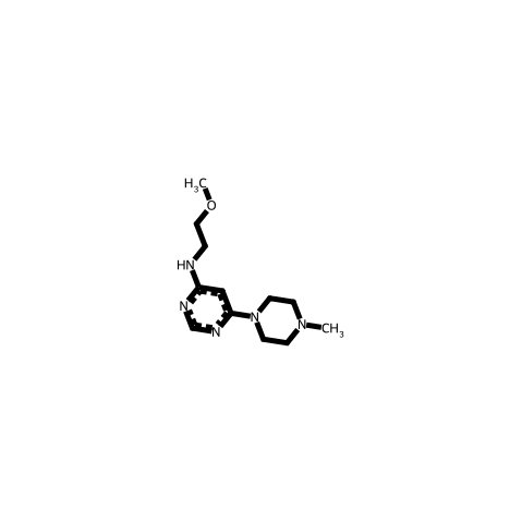 COCCNc1cc(N2CCN(C)CC2)ncn1